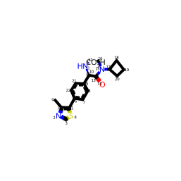 Cc1ncsc1-c1ccc([C@@H](NC(=O)O)C(=O)N(C)C2CCC2)cc1